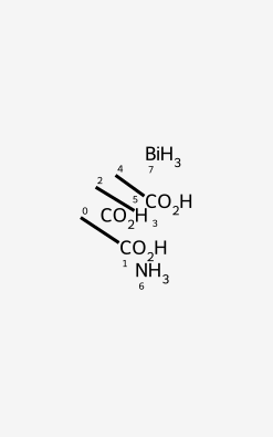 CC(=O)O.CC(=O)O.CC(=O)O.N.[BiH3]